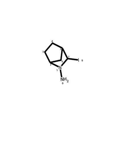 NN1C2CCC(C2)C1I